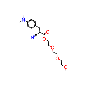 COCCOCCOCCOC(=O)/C(C#N)=C/c1ccc(N(C)C)cc1